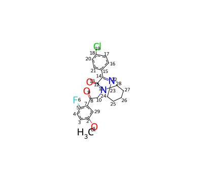 COc1ccc(F)c(C(=O)CN2C(=O)C(c3ccc(Cl)cc3)=NC23CCCCC3)c1